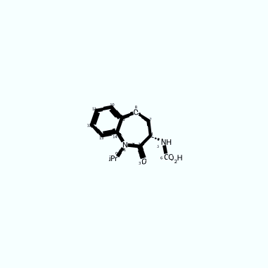 CC(C)N1C(=O)[C@@H](NC(=O)O)COc2ccccc21